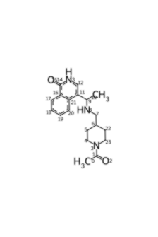 CC(=O)N1CCC(CNC(C)c2c[nH]c(=O)c3ccccc23)CC1